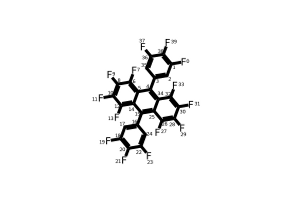 Fc1cc(-c2c3c(F)c(F)c(F)c(F)c3c(-c3cc(F)c(F)c(F)c3)c3c(F)c(F)c(F)c(F)c23)cc(F)c1F